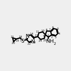 NC1c2ccccc2CC12CCC(c1cnc(SCC3CC3)cn1)CC2